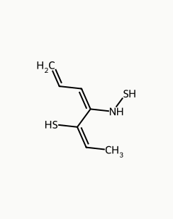 C=C/C=C(NS)\C(S)=C/C